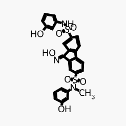 CN(c1cccc(O)c1)S(=O)(=O)c1ccc2c(c1)C(=NO)c1cc(S(=O)(=O)Nc3cccc(O)c3)ccc1-2